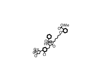 COC(=O)c1ccccc1OCCCCCNC(=O)C(Cc1ccc(C2CC(=O)[N+]([O-])([O-])S2)c(Cl)c1)NS(=O)(=O)c1ccccc1